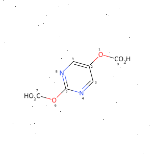 O=C(O)Oc1cnc(OC(=O)O)nc1